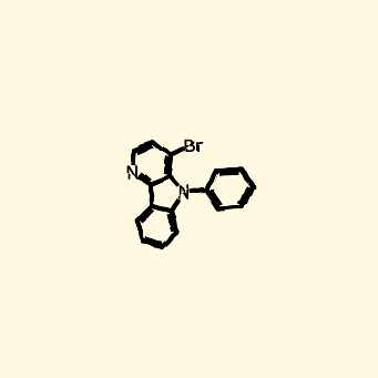 Brc1ccnc2c3ccccc3n(-c3ccccc3)c12